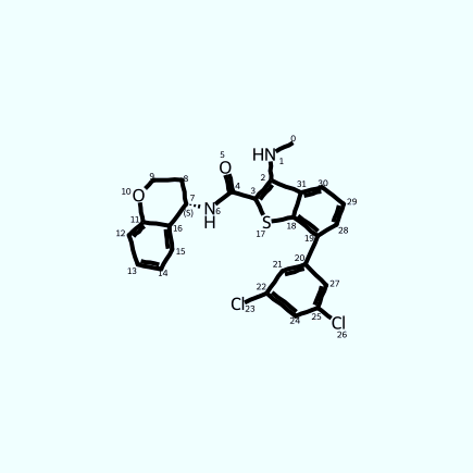 CNc1c(C(=O)N[C@H]2CCOc3ccccc32)sc2c(-c3cc(Cl)cc(Cl)c3)cccc12